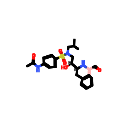 CC(=O)Nc1ccc(S(=O)(=O)N(CC(C)C)C[C@@H](O)[C@H](Cc2ccccc2)NBC=O)cc1